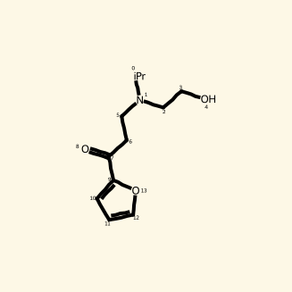 CC(C)N(CCO)CCC(=O)c1ccco1